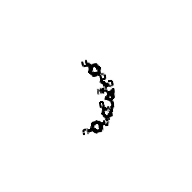 O=C(COc1ccc(Cl)cc1)NC12CC(CN3C[C@H](Oc4ccc(Cl)cc4)CC3=O)C1C2